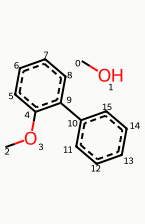 CO.COc1ccccc1-c1ccccc1